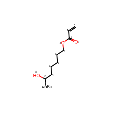 C=CC(=O)OCCCCCC(O)CCCC